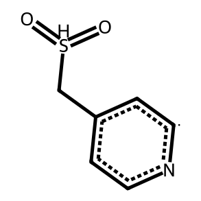 O=[SH](=O)Cc1c[c]ncc1